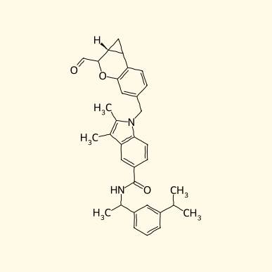 Cc1c(C)n(Cc2ccc3c(c2)OC(C=O)[C@@H]2CC32)c2ccc(C(=O)NC(C)c3cccc(C(C)C)c3)cc12